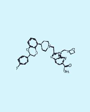 O=C(O)c1ccc2nc(CN3CCC(c4cccc5c4OCC(c4ccc(F)cc4)O5)CC3)n(C[C@@H]3CCO3)c2n1